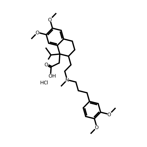 COc1ccc(CCCN(C)CCC2CCc3cc(OC)c(OC)cc3C2(CC(=O)O)C(C)C)cc1OC.Cl